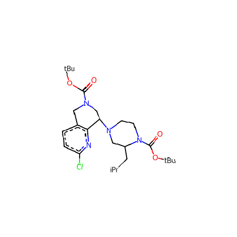 CC(C)CC1CN(C2CN(C(=O)OC(C)(C)C)Cc3ccc(Cl)nc32)CCN1C(=O)OC(C)(C)C